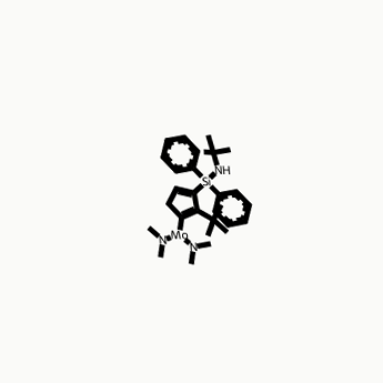 C[N](C)[Mo]([C]1=C(C(C)(C)C)C([Si](NC(C)(C)C)(c2ccccc2)c2ccccc2)=CC1)[N](C)C